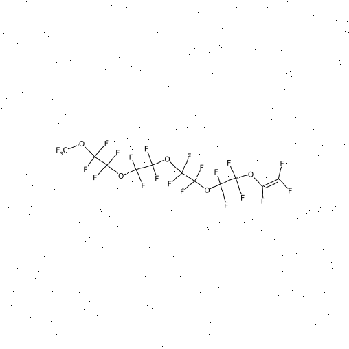 FC(F)=C(F)OC(F)(F)C(F)(F)OC(F)(F)C(F)(F)OC(F)(F)C(F)(F)OC(F)(F)C(F)(F)OC(F)(F)F